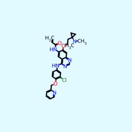 C=CC(=O)Nc1cc2c(Nc3ccc(OCc4ccccn4)c(Cl)c3)ncnc2cc1OCCC1(N(C)C)CC1